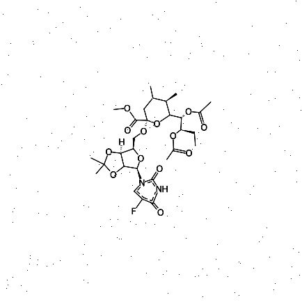 CC[C@@H](OC(C)=O)[C@@H](OC(C)=O)C1O[C@@](OC[C@H]2O[C@@H](n3cc(F)c(=O)[nH]c3=O)C3OC(C)(C)O[C@H]32)(C(=O)OC)CC(C)[C@H]1C